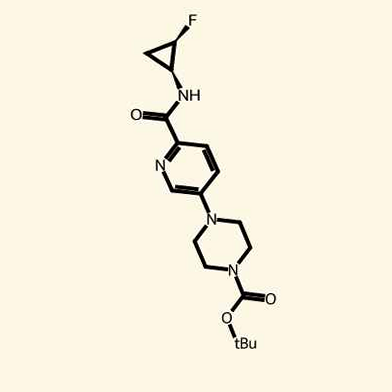 CC(C)(C)OC(=O)N1CCN(c2ccc(C(=O)N[C@H]3C[C@H]3F)nc2)CC1